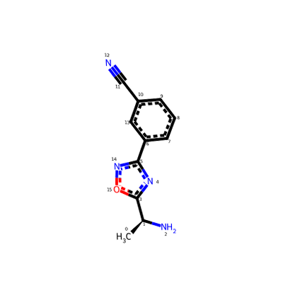 C[C@H](N)c1nc(-c2cccc(C#N)c2)no1